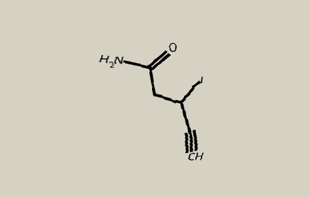 C#CC(I)CC(N)=O